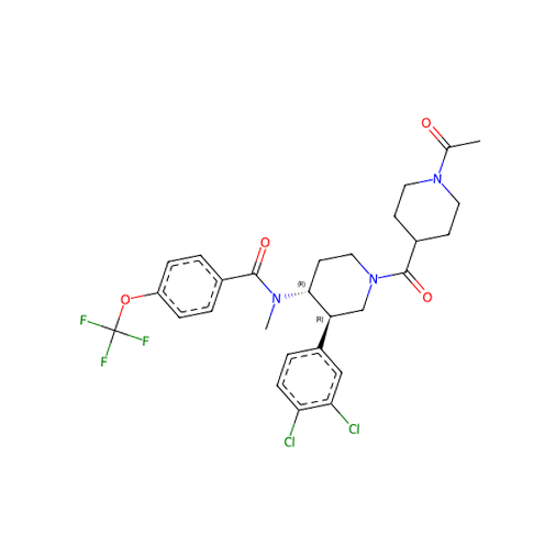 CC(=O)N1CCC(C(=O)N2CC[C@@H](N(C)C(=O)c3ccc(OC(F)(F)F)cc3)[C@H](c3ccc(Cl)c(Cl)c3)C2)CC1